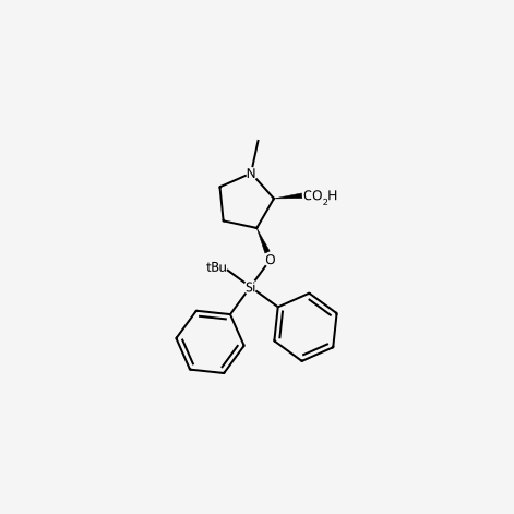 CN1CC[C@H](O[Si](c2ccccc2)(c2ccccc2)C(C)(C)C)[C@@H]1C(=O)O